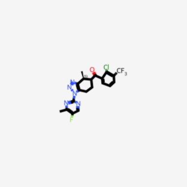 Cc1nc(-n2nnc3c2CCC(C(=O)c2cccc(C(F)(F)F)c2Cl)[C@@H]3C)ncc1F